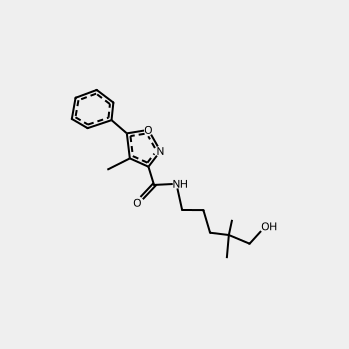 Cc1c(C(=O)NCCCC(C)(C)CO)noc1-c1ccccc1